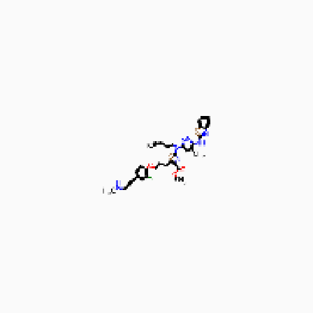 C#CCCCN(c1cc(C)c(Nc2nc3ccccc3s2)nn1)c1nc(C(=O)OC)c(CCCOc2ccc(C#CCNC)cc2F)s1